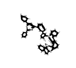 c1ccc(-c2cc(-c3cccc(-c4cccc(-n5c6ccccc6c6ccc7c(c65)Oc5c(ccc6ccccc56)O7)c4)c3)nc(-c3ccccc3)n2)cc1